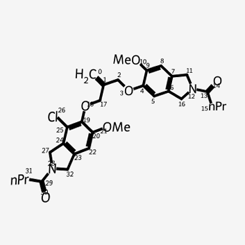 C=C(COc1cc2c(cc1OC)CN(C(=O)CCC)C2)COc1c(OC)cc2c(c1Cl)CN(C(=O)CCC)C2